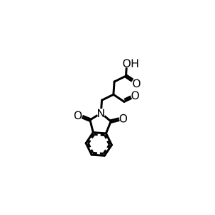 O=CC(CC(=O)O)CN1C(=O)c2ccccc2C1=O